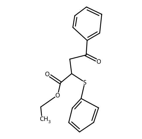 CCOC(=O)C(CC(=O)c1ccccc1)Sc1ccccc1